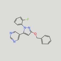 Fc1ccccc1-n1nc(OCc2ccccc2)cc1-c1cncnc1